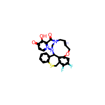 O=C1c2c(O)c(=O)ccn2N2CN1C/C=C/COc1cc(F)c(F)c3c1C2c1ccccc1SC3